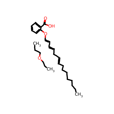 CCCCCCCCC=CCC=CC=COc1ccccc1C(=O)O.CCCOCCC